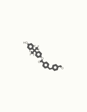 O=Cc1ccc(Cc2ccc(C(=O)Oc3ccc(C(c4ccc(O)cc4)(C(F)(F)F)C(F)(F)F)cc3)cc2)cc1